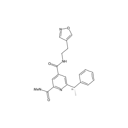 CNC(=O)c1cc(C(=O)NCCc2cnoc2)cc([C@@H](C)c2ccccc2)n1